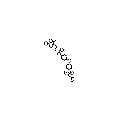 Cc1oc(=O)oc1COC(=O)Oc1ccc(Oc2ccc(S(=O)(=O)CC3CS3)cc2)cc1